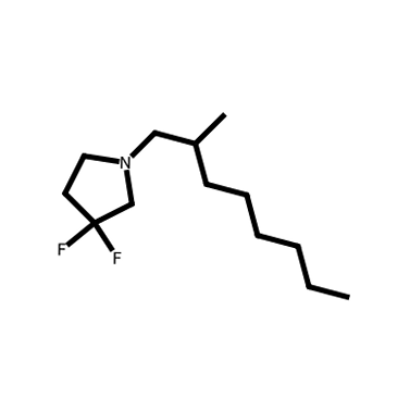 CCCCCCC(C)CN1CCC(F)(F)C1